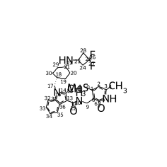 CSc1cc(C)[nH]c(=O)c1CNC(=O)c1c(C)n(C[C@H]2CC[C@@H](NC3CC(F)(F)C3)CC2)c2ccccc12